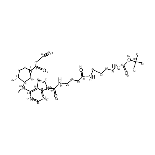 C[C@@H]1CCN(C(=O)CC#N)CC1N(C)c1ncnc2c1ccn2C(=O)NCCCC(=O)NCCCCNC(=O)OC(C)(C)C